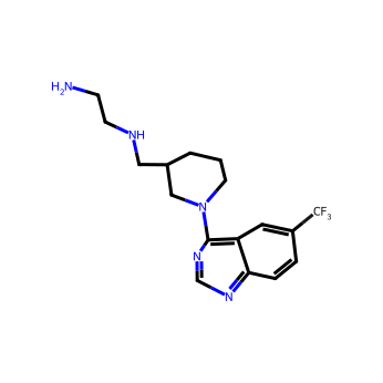 NCCNCC1CCCN(c2ncnc3ccc(C(F)(F)F)cc23)C1